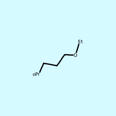 [CH2]COCCCCCC